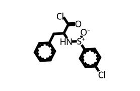 O=C(Cl)C(Cc1ccccc1)N[S+]([O-])c1ccc(Cl)cc1